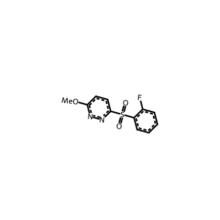 COc1ccc(S(=O)(=O)c2ccccc2F)nn1